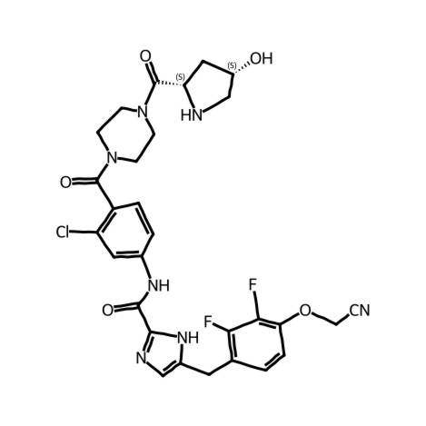 N#CCOc1ccc(Cc2cnc(C(=O)Nc3ccc(C(=O)N4CCN(C(=O)[C@@H]5C[C@H](O)CN5)CC4)c(Cl)c3)[nH]2)c(F)c1F